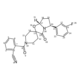 N#Cc1ccccc1C(=O)N1CCC2(CC1)O[C@@H]1CC[C@@H](c3cccc(F)c3)N1C2=O